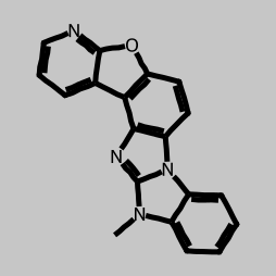 Cn1c2ccccc2n2c3ccc4oc5ncccc5c4c3nc12